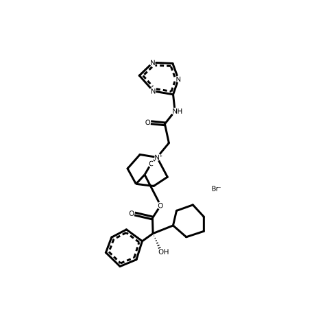 O=C(C[N+]12CCC(CC1)C(OC(=O)[C@](O)(c1ccccc1)C1CCCCC1)C2)Nc1ncncn1.[Br-]